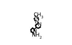 CN1CCN(c2cc(-c3cccc(N)n3)ccn2)CC1